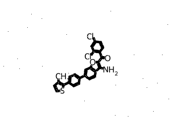 Cc1ccsc1-c1ccc(-c2ccc3c(N)c(C(=O)c4ccc(Cl)cc4Cl)oc3c2)cc1